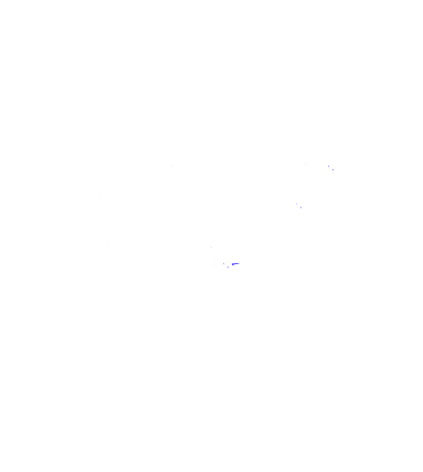 CC(C(=O)N[C@]1(c2ccccc2)CC[C@@H](N2CCNC(=O)C2)CC1)c1cc(C(F)(F)F)cc(C(F)(F)F)c1